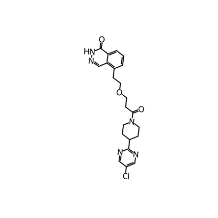 O=C(CCOCCc1cccc2c(=O)[nH]ncc12)N1CCC(c2ncc(Cl)cn2)CC1